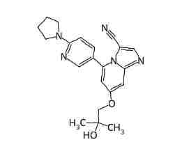 CC(C)(O)COc1cc(-c2ccc(N3CCCC3)nc2)n2c(C#N)cnc2c1